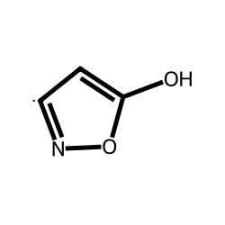 Oc1c[c]no1